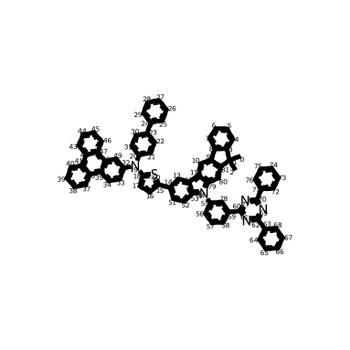 CC1(C)c2ccccc2-c2cc3c4cc(-c5ccc(N(c6ccc(-c7ccccc7)cc6)c6ccc7c8ccccc8c8ccccc8c7c6)s5)ccc4n(-c4cccc(-c5nc(-c6ccccc6)nc(-c6ccccc6)n5)c4)c3cc21